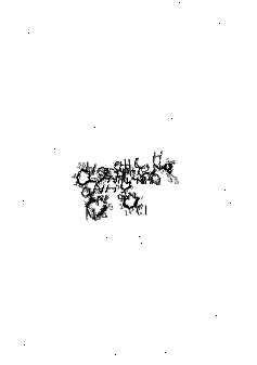 [2H][C@@](CCC)(NC(=O)[C@@H]1C[C@@H](Oc2ccc(Cl)cn2)CN1C(=O)[C@@H](NC(=O)[C@@H](NC(=O)c1cnccn1)C1CCCCC1)C(C)(C)C)C(=O)C(=O)NC1CC1